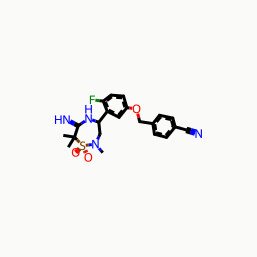 CN1CC(c2cc(OCc3ccc(C#N)cc3)ccc2F)NC(=N)C(C)(C)S1(=O)=O